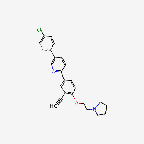 C#Cc1cc(-c2ccc(-c3ccc(Cl)cc3)cn2)ccc1OCCN1CCCC1